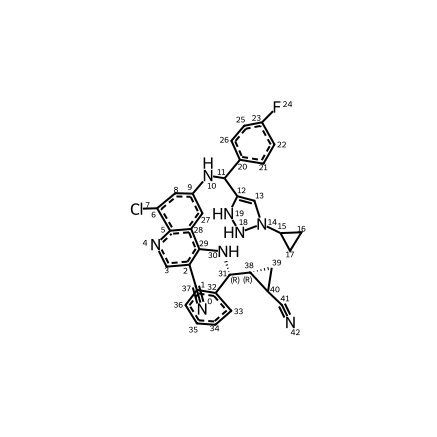 N#Cc1cnc2c(Cl)cc(NC(C3=CN(C4CC4)NN3)c3ccc(F)cc3)cc2c1N[C@@H](c1ccccc1)[C@@H]1CC1C#N